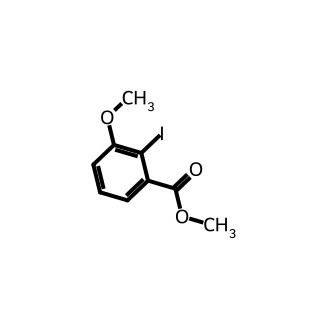 COC(=O)c1cccc(OC)c1I